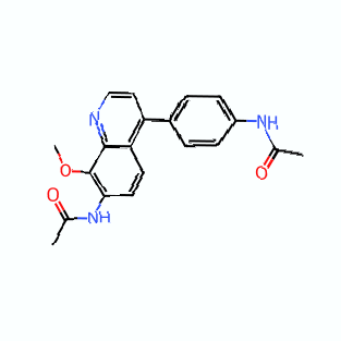 COc1c(NC(C)=O)ccc2c(-c3ccc(NC(C)=O)cc3)ccnc12